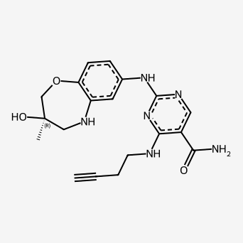 C#CCCNc1nc(Nc2ccc3c(c2)NC[C@@](C)(O)CO3)ncc1C(N)=O